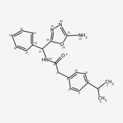 CC(C)c1ccc(CC(=O)NC(c2ccccc2)c2nnc(N)o2)cc1